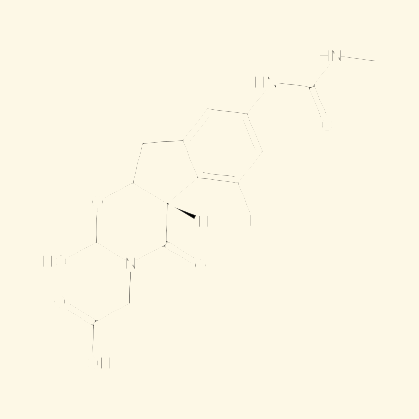 CNC(=O)Nc1cc(F)c2c(c1)CC1OC(O)N(CC(=O)O)C(=O)[C@@H]21